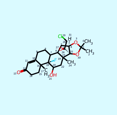 CC1(C)O[C@@H]2CC3C4CCC5=CC(=O)CCC5(C)[C@@]4(F)C(O)CC3(C)[C@]2(C(=O)CCl)O1